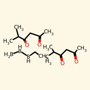 BBBCC.CC(=O)CC(=O)C(C)C.CC(=O)CC(=O)C(C)C